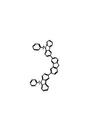 c1ccc(-n2c3ccccc3c3cc(-c4ccc5c(c4)-c4cc(-c6ccc7c(c6)c6ccccc6n7-c6ccccc6)ccc4C5)ccc32)cc1